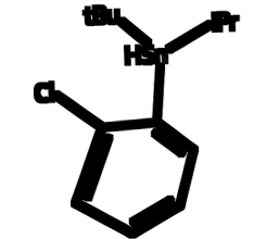 C[CH](C)[SnH]([c]1ccccc1Cl)[C](C)(C)C